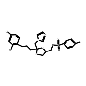 Cc1ccc(S(=O)(=O)OC[C@H]2CO[C@](CCCc3ccc(Cl)cc3Cl)(Cn3ccnc3)O2)cc1